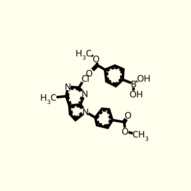 COC(=O)c1ccc(-n2ccc3c(C)nc(Cl)nc32)cc1.COC(=O)c1ccc(B(O)O)cc1